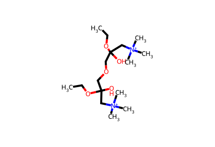 CCOC(O)(COCC(O)(C[N+](C)(C)C)OCC)C[N+](C)(C)C